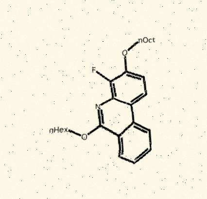 CCCCCCCCOc1ccc2c(nc(OCCCCCC)c3ccccc32)c1F